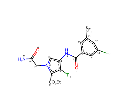 CCOC(=O)c1c(F)c(NC(=O)c2cc(F)cc(C(F)(F)F)c2)cn1CC(N)=O